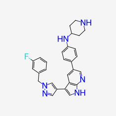 Fc1cccc(Cn2cc(-c3c[nH]c4ncc(-c5ccc(NC6CCNCC6)cc5)cc34)cn2)c1